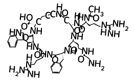 CC(=O)N[C@@H](CCCNC(=N)N)C(=O)N[C@H]1CC(=O)NCCCC[C@@H](C(=O)O)NC(=O)[C@H](Cc2c[nH]c3ccccc23)NC(=O)[C@H](CCCNC(=N)N)NC(=O)[C@@H](Cc2ccccc2)NC(=O)[C@H](CCNC(=O)CN)NC1=O